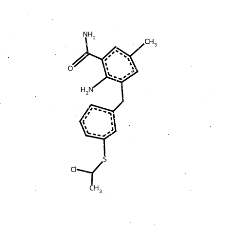 Cc1cc(Cc2cccc(SC(C)Cl)c2)c(N)c(C(N)=O)c1